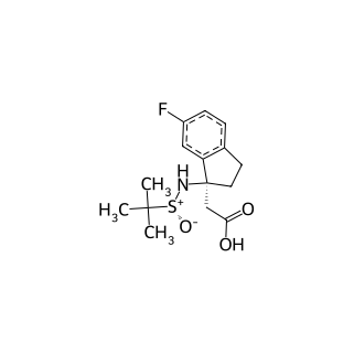 CC(C)(C)[S@@+]([O-])N[C@]1(CC(=O)O)CCc2ccc(F)cc21